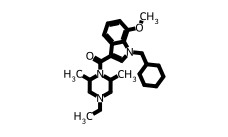 CCN1CC(C)N(C(=O)c2cn(CC3CCCCC3)c3c(OC)cccc23)C(C)C1